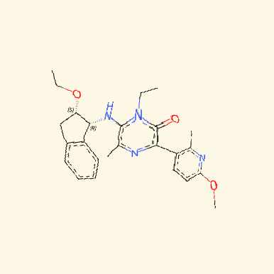 CCO[C@H]1Cc2ccccc2[C@H]1Nc1c(C)nc(-c2ccc(OC)nc2C)c(=O)n1CC